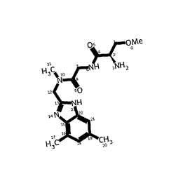 COC[C@@H](N)C(=O)NCC(=O)N(C)Cc1nc2c(C)cc(C)cc2[nH]1